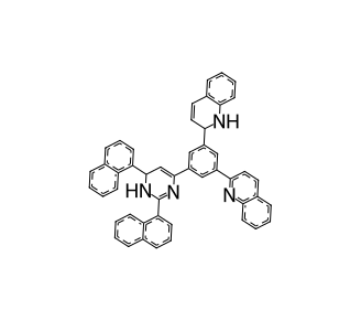 C1=CC(c2cc(C3=CC(c4cccc5ccccc45)NC(c4cccc5ccccc45)=N3)cc(-c3ccc4ccccc4n3)c2)Nc2ccccc21